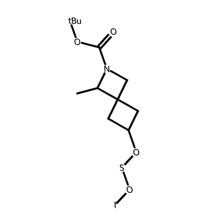 CC1N(C(=O)OC(C)(C)C)CC12CC(OSOI)C2